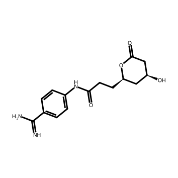 N=C(N)c1ccc(NC(=O)CC[C@@H]2C[C@H](O)CC(=O)O2)cc1